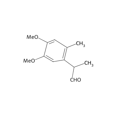 COc1cc(C)c(C(C)C=O)cc1OC